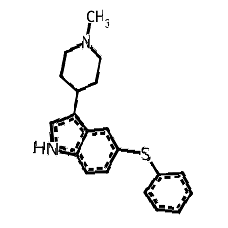 CN1CCC(c2c[nH]c3ccc(Sc4ccccc4)cc23)CC1